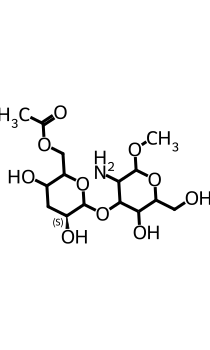 COC1OC(CO)C(O)C(OC2OC(COC(C)=O)C(O)C[C@@H]2O)C1N